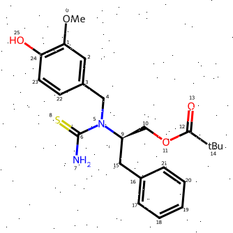 COc1cc(CN(C(N)=S)[C@@H](COC(=O)C(C)(C)C)Cc2ccccc2)ccc1O